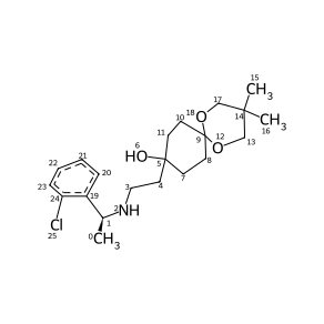 C[C@H](NCCC1(O)CCC2(CC1)OCC(C)(C)CO2)c1ccccc1Cl